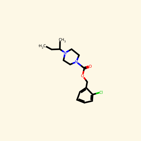 [CH2]CC(C)N1CCN(C(=O)OCc2ccccc2Cl)CC1